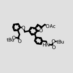 CC(=O)OCc1cc2cc(COc3ccccc3CC(=O)OC(C)(C)C)cc(-c3cccc(CNC(=O)OC(C)(C)C)c3)c2o1